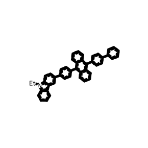 CCn1c2ccccc2c2cc(-c3ccc(-c4c5ccccc5c(-c5ccc(-c6ccccc6)cc5)c5ccccc45)cc3)ccc21